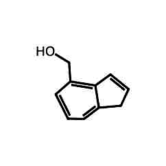 OCc1cccc2c1C=CC2